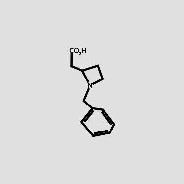 O=C(O)CC1CCN1Cc1ccccc1